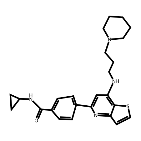 O=C(NC1CC1)c1ccc(-c2cc(NCCCN3CCCCC3)c3sccc3n2)cc1